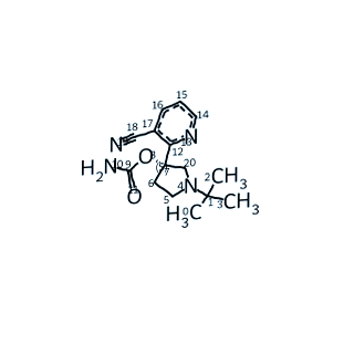 CC(C)(C)N1CC[C@@](OC(N)=O)(c2ncccc2C#N)C1